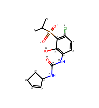 CC(C)S(=O)(=O)c1c(Cl)ccc(NC(=O)NC2C=CCC2)c1O